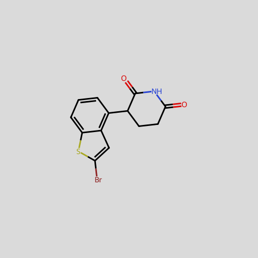 O=C1CCC(c2cccc3sc(Br)cc23)C(=O)N1